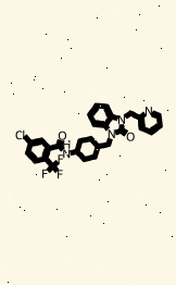 O=C(NC1CCC(Cn2c(=O)n(Cc3ccccn3)c3ccccc32)CC1)c1cc(Cl)ccc1C(F)(F)F